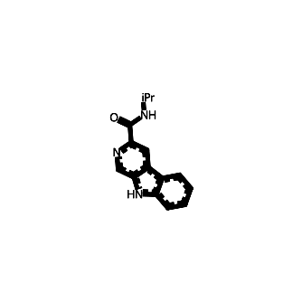 CC(C)NC(=O)c1cc2c(cn1)[nH]c1ccccc12